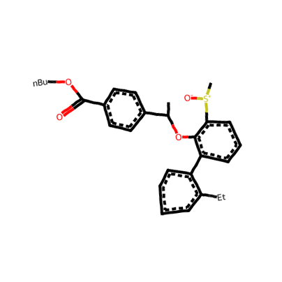 CCCCOC(=O)c1ccc(C(C)Oc2c(-c3ccccc3CC)cccc2[S+](C)[O-])cc1